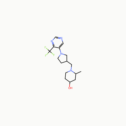 CC1CC(O)CCN1CC1CCN(c2cncnc2C(F)(F)F)C1